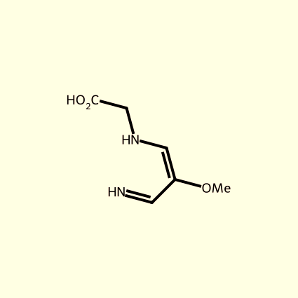 CO/C(C=N)=C/NCC(=O)O